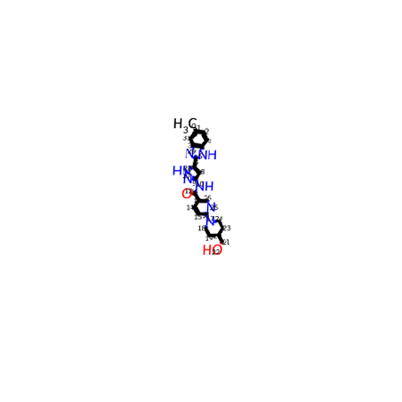 Cc1ccc2[nH]c(-c3cc(NC(=O)c4ccc(N5CCC(CO)CC5)nc4)n[nH]3)nc2c1